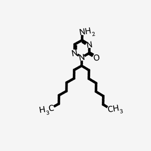 CCCCCCCC(CCCCCCC)n1ncc(N)nc1=O